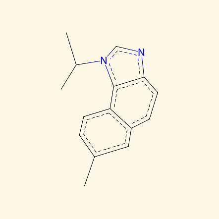 Cc1ccc2c(ccc3ncn(C(C)C)c32)c1